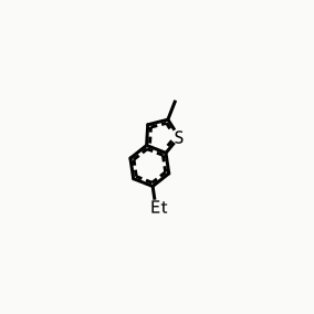 CCc1ccc2cc(C)sc2c1